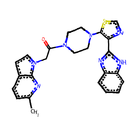 Cc1ccc2ccn(CC(=O)N3CCN(c4scnc4-c4nc5ccccc5[nH]4)CC3)c2n1